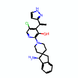 C=C(c1cc[nH]n1)c1c(Cl)cnc(N2CCC3(CC2)Cc2ccccc2[C@H]3N)c1O